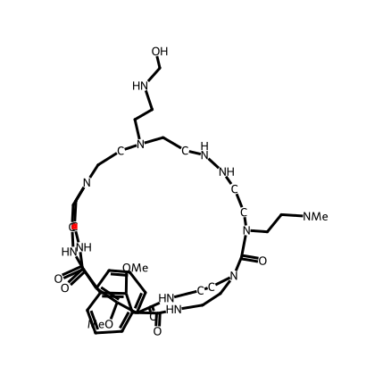 CNCCN1CCNNCCN(CCNCO)CCN2CCNC(=O)c3cccc(c3OC)C(=O)NCCN(CCNC(=O)c3cccc(c3OC)C(=O)NCC2)C1=O